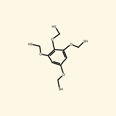 SCOc1cc(OCS)c(OCS)c(OCS)c1